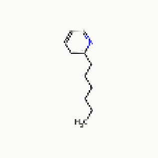 CCCC[CH]Cc1ccccn1